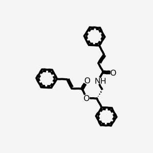 O=C(C=Cc1ccccc1)NC[C@@H](OC(=O)C=Cc1ccccc1)c1ccccc1